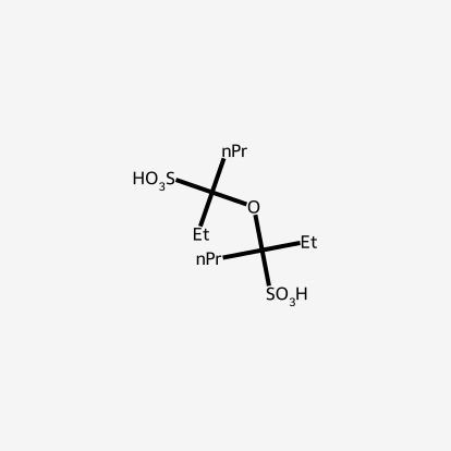 CCCC(CC)(OC(CC)(CCC)S(=O)(=O)O)S(=O)(=O)O